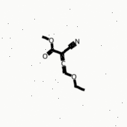 CCOC=C=C(C#N)C(=O)OC